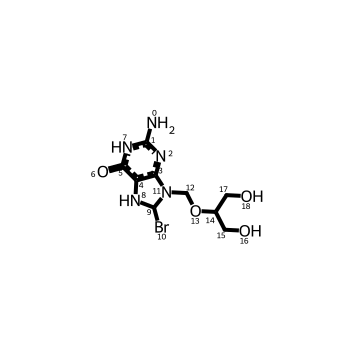 Nc1nc2c(c(=O)[nH]1)NC(Br)N2COC(CO)CO